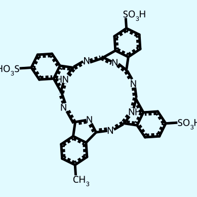 Cc1ccc2c(c1)-c1nc-2nc2[nH]c(nc3nc(nc4[nH]c(n1)c1ccc(S(=O)(=O)O)cc41)-c1ccc(S(=O)(=O)O)cc1-3)c1ccc(S(=O)(=O)O)cc21